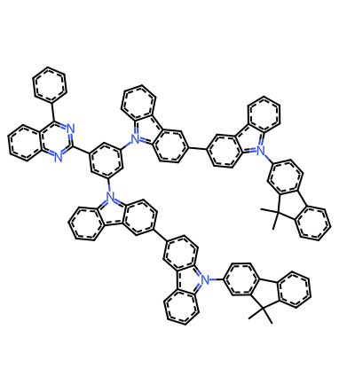 CC1(C)c2ccccc2-c2ccc(-n3c4ccccc4c4cc(-c5ccc6c(c5)c5ccccc5n6-c5cc(-c6nc(-c7ccccc7)c7ccccc7n6)cc(-n6c7ccccc7c7cc(-c8ccc9c(c8)c8ccccc8n9-c8ccc9c(c8)C(C)(C)c8ccccc8-9)ccc76)c5)ccc43)cc21